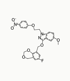 COc1ccc2c(c1)c(OCc1cc(F)cc3c1OCOC3)nn2CCOc1ccc([N+](=O)[O-])cc1